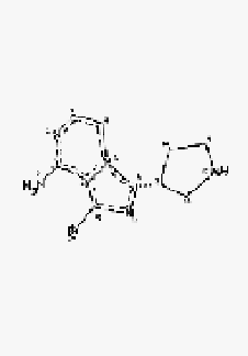 Nc1nccn2c([C@@H]3CCNC3)nc(Br)c12